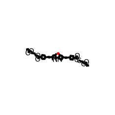 C=CC(=O)OCCCOC(=O)c1ccc(C#Cc2cnc(-c3ncc(C#Cc4ccc(C(=O)OCCCOC(=O)C=C)cc4)cc3C)c(C)c2)cc1